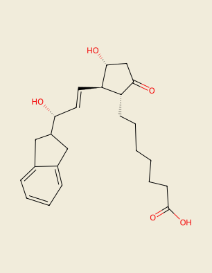 O=C(O)CCCCCC[C@H]1C(=O)C[C@@H](O)[C@@H]1C=C[C@@H](O)C1Cc2ccccc2C1